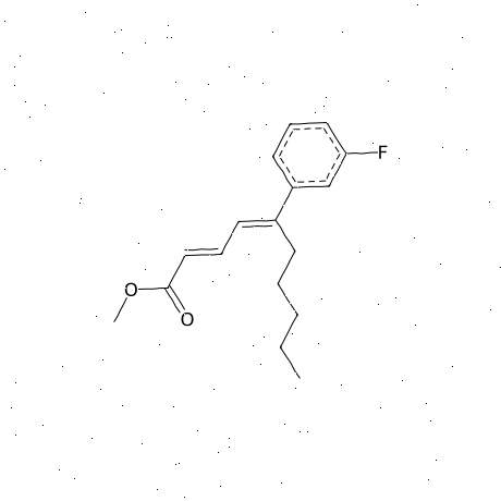 CCCCC/C(=C\C=C\C(=O)OC)c1cccc(F)c1